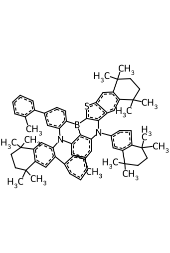 Cc1cc2c3c(c1)N(c1ccc4c(c1)C(C)(C)CCC4(C)C)c1c(sc4cc5c(cc14)C(C)(C)CCC5(C)C)B3c1ccc(-c3ccccc3C)cc1N2c1cc2c(cc1-c1ccccc1)C(C)(C)CCC2(C)C